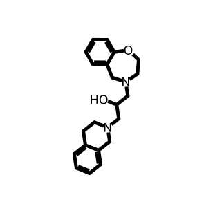 OC(CN1CCc2ccccc2C1)CN1CCOc2ccccc2C1